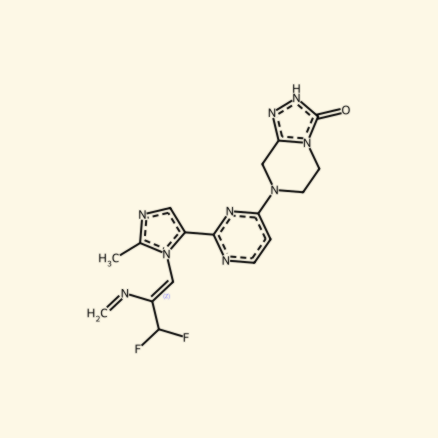 C=N/C(=C\n1c(-c2nccc(N3CCn4c(n[nH]c4=O)C3)n2)cnc1C)C(F)F